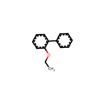 CCOc1ccc[c]c1-c1ccccc1